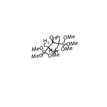 CCCC(C)(C(=O)C(C)(CCC)[Si](OC)(OC)OC)[Si](OC)(OC)OC